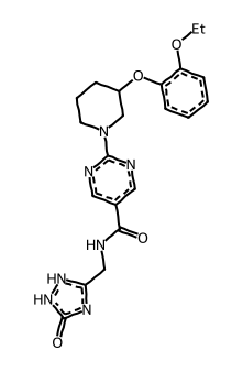 CCOc1ccccc1OC1CCCN(c2ncc(C(=O)NCc3nc(=O)[nH][nH]3)cn2)C1